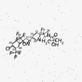 CC(C)(O)C(=O)N1CC(F)(c2ccc(C3=NOC(c4ccc(Cl)c(C(F)(F)F)c4)(C(F)(F)F)C3)cn2)C1